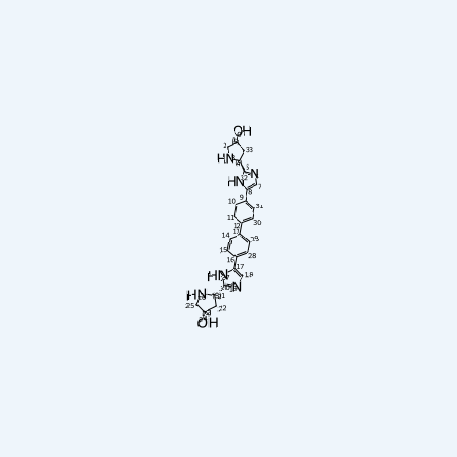 O[C@@H]1CN[C@H](c2ncc(-c3ccc(-c4ccc(-c5cnc([C@@H]6C[C@H](O)CN6)[nH]5)cc4)cc3)[nH]2)C1